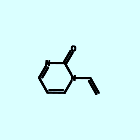 C=Cn1cccnc1=O